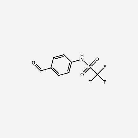 O=[C]c1ccc(NS(=O)(=O)C(F)(F)F)cc1